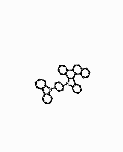 c1ccc2c(c1)ccc1c3ccccc3c3c(c4ccccc4n3-c3ccc(-n4c5ccccc5c5ccccc54)cc3)c21